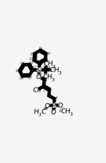 COP(=O)(CC/C=C(\Cl)CO[Si](c1ccccc1)(c1ccccc1)C(C)(C)C)OC